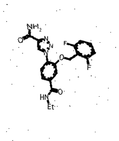 CCNC(=O)c1ccc(-n2cc(C(N)=O)nn2)c(OCc2c(F)cccc2F)c1